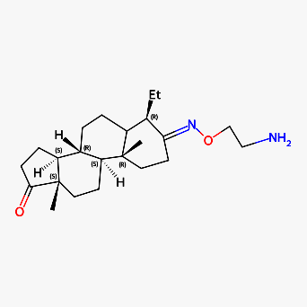 CC[C@H]1C(=NOCCN)CC[C@@]2(C)C1CC[C@@H]1[C@@H]2CC[C@]2(C)C(=O)CC[C@@H]12